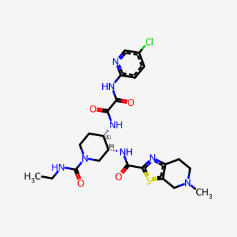 CCNC(=O)N1CC[C@H](NC(=O)C(=O)Nc2ccc(Cl)cn2)[C@H](NC(=O)c2nc3c(s2)CN(C)CC3)C1